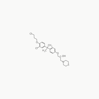 CC(C)(c1ccc(OC[C@H](O)CN2CCSCC2)cc1)c1ccc(OCCCCl)c(Cl)c1